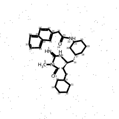 CN(C=O)C(=N)N[C@H](CCC1CCCCC1)C[C@H]1CCC[C@@H](NC(=O)Cc2ccc3ccccc3c2)C1